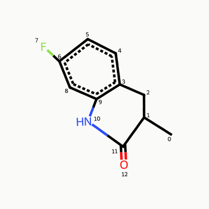 CC1Cc2ccc(F)cc2NC1=O